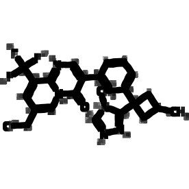 CC1CC(c2cccc(-c3cnc4c(C(F)(F)F)cc(CCl)cn4c3=O)c2)(c2nncn2C)C1